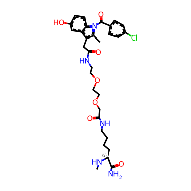 CN[C@@H](CCCCNC(=O)COCCOCCNC(=O)Cc1c(C)n(C(=O)c2ccc(Cl)cc2)c2ccc(O)cc12)C(N)=O